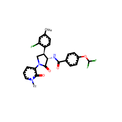 CCn1cccc(N2C[C@@H](c3ccc(OC)cc3F)[C@H](NC(=O)c3ccc(OC(F)F)cc3)C2=O)c1=O